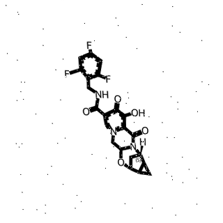 O=C(NCc1c(F)cc(F)cc1F)c1cn2c(c(O)c1=O)C(=O)N1C(C2)OC2C[C@H]1C1CC21